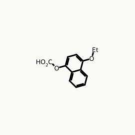 CCOc1ccc(OC(=O)O)c2ccccc12